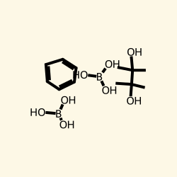 CC(C)(O)C(C)(C)O.OB(O)O.OB(O)O.c1ccccc1